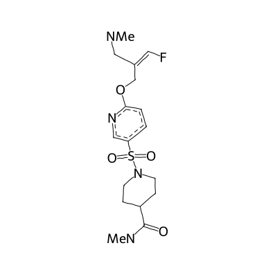 CNC/C(=C/F)COc1ccc(S(=O)(=O)N2CCC(C(=O)NC)CC2)cn1